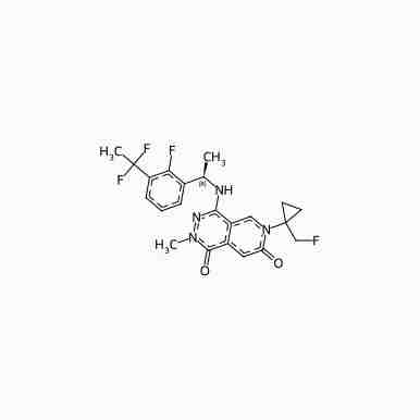 C[C@@H](Nc1nn(C)c(=O)c2cc(=O)n(C3(CF)CC3)cc12)c1cccc(C(C)(F)F)c1F